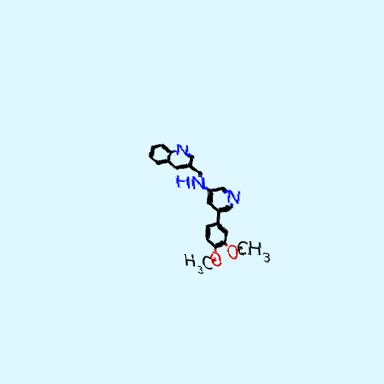 COc1ccc(-c2cncc(NCc3cnc4ccccc4c3)c2)cc1OC